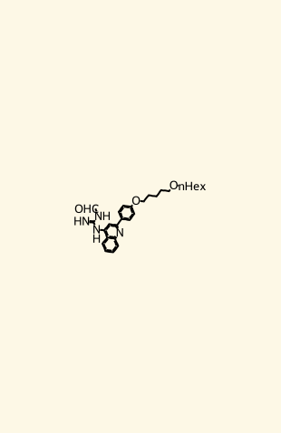 CCCCCCOCCCCCOc1ccc(-c2cc(NC(=N)NC=O)c3ccccc3n2)cc1